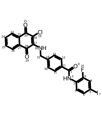 O=C(Nc1ccc(I)cc1F)c1ccc(CNC2=C(Cl)C(=O)c3ccccc3C2=O)cc1